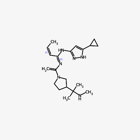 C=C(/N=C(\C=C/C)Nc1cc(C2CC2)[nH]n1)N1CCC(C(C)(C)NC)C1